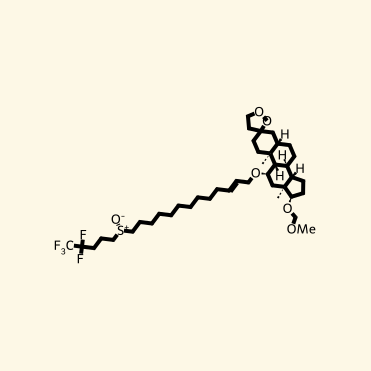 COCO[C@H]1CC[C@H]2[C@@H]3CC[C@H]4CC5(CCOO5)CC[C@]4(C)[C@H]3[C@@H](OC/C=C/CCCCCCCCCC[S+]([O-])CCCC(F)(F)C(F)(F)F)C[C@]12C